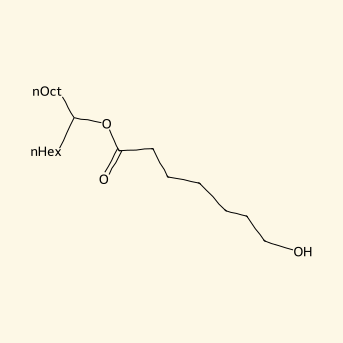 CCCCCCCCC(CCCCCC)OC(=O)CCCCCCO